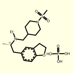 CCN(CC1CCN(S(C)(=O)=O)CC1)[C@@H](C)Cc1ccc2c(c1)CCO2.O=P(O)(O)O